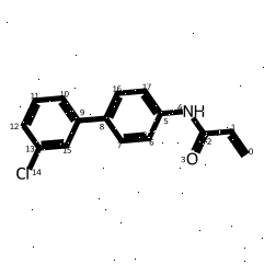 C=CC(=O)Nc1ccc(-c2cc[c]c(Cl)c2)cc1